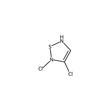 ClC1=CNSN1Cl